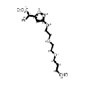 CCOC(=O)C(c1cc(OCCOCCOCCCC=O)no1)C(C)C